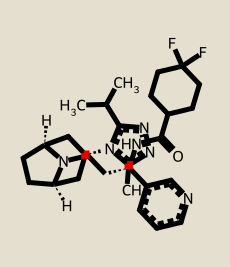 Cc1nnc(C(C)C)n1[C@@H]1C[C@H]2CC[C@@H](C1)N2CC[C@H](NC(=O)C1CCC(F)(F)CC1)c1cccnc1